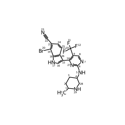 CC1CCC(Nc2ncc(C(F)(F)F)c(-c3c[nH]c4c(Br)c(C#N)ccc34)n2)CN1